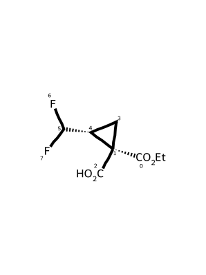 CCOC(=O)[C@@]1(C(=O)O)C[C@H]1C(F)F